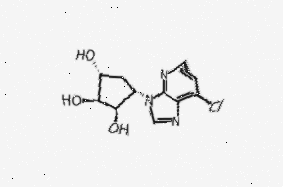 O[C@@H]1[C@H](O)[C@@H](n2cnc3c(Cl)ccnc32)C[C@H]1O